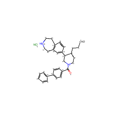 Cl.O=CCCC1CCN(C(=O)c2ccc(-c3ccccc3)cc2)CC1c1ccc2c(c1)CCNCC2